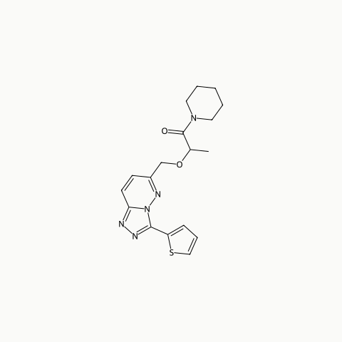 CC(OCc1ccc2nnc(-c3cccs3)n2n1)C(=O)N1CCCCC1